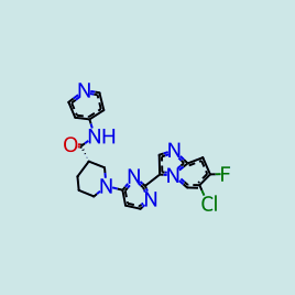 O=C(Nc1ccncc1)[C@H]1CCCN(c2ccnc(-c3cnc4cc(F)c(Cl)cn34)n2)C1